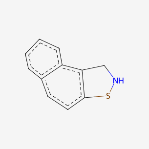 c1ccc2c3c(ccc2c1)SNC3